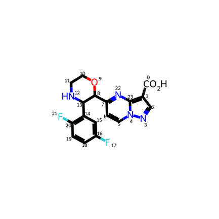 O=C(O)c1cnn2ccc(C3OCCNC3c3cc(F)ccc3F)nc12